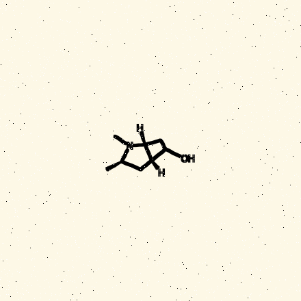 C[C@@H]1C[C@H]2C(O)C[C@H]2N1C